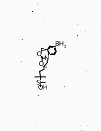 Bc1ccc(N2C[C@H](CCC(C)(C)[Si](C)(C)O)OC2=O)c(F)c1